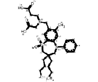 CCCCC1(CCCC)CN(c2ccccc2)c2cc(C)c(CN(CCC(=O)O)CC(=O)O)cc2S(=O)(=O)C1